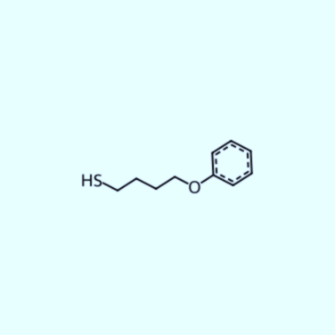 SCCCCOc1ccccc1